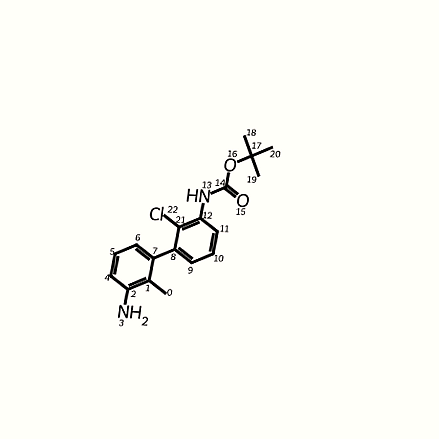 Cc1c(N)cccc1-c1cccc(NC(=O)OC(C)(C)C)c1Cl